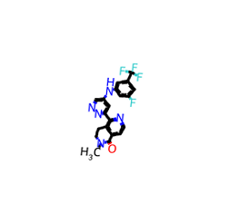 CN1CCc2c(ccnc2-c2cc(Nc3cc(F)cc(C(F)(F)F)c3)cnn2)C1=O